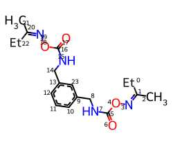 CC/C(C)=N\OC(=O)NCc1cccc(CNC(=O)O/N=C(/C)CC)c1